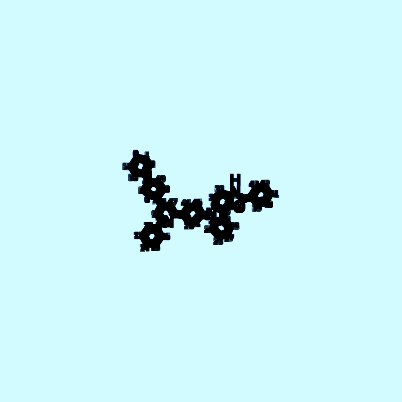 c1ccc(-c2ccc(-c3cc(-c4ccccc4)nc(-c4ccc(-n5c6ccccc6c6c7c(ccc65)NC(c5ccccc5)O7)cc4)c3)cc2)cc1